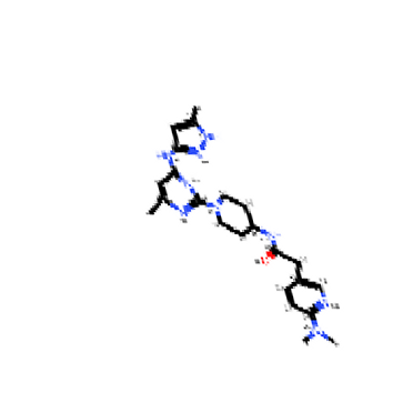 Cc1cc(Nc2cc(C)[nH]n2)nc(N2CCC(NC(=O)Cc3ccc(N(C)C)nc3)CC2)n1